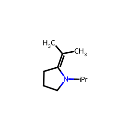 CC(C)=C1CCCN1C(C)C